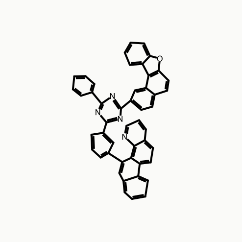 c1ccc(-c2nc(-c3cccc(-c4cc5ccccc5c5ccc6cccnc6c45)c3)nc(-c3ccc4ccc5oc6ccccc6c5c4c3)n2)cc1